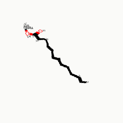 C/C=C/CCCCCCCCCC(=O)OCCCC